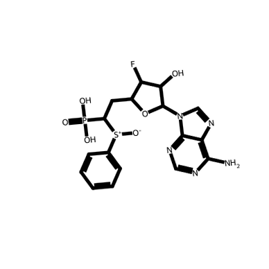 Nc1ncnc2c1ncn2C1OC(CC([S+]([O-])c2ccccc2)P(=O)(O)O)C(F)C1O